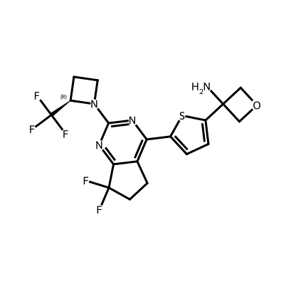 NC1(c2ccc(-c3nc(N4CC[C@@H]4C(F)(F)F)nc4c3CCC4(F)F)s2)COC1